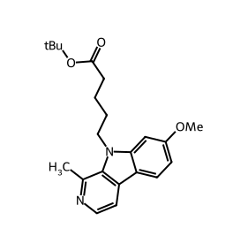 COc1ccc2c3ccnc(C)c3n(CCCCC(=O)OC(C)(C)C)c2c1